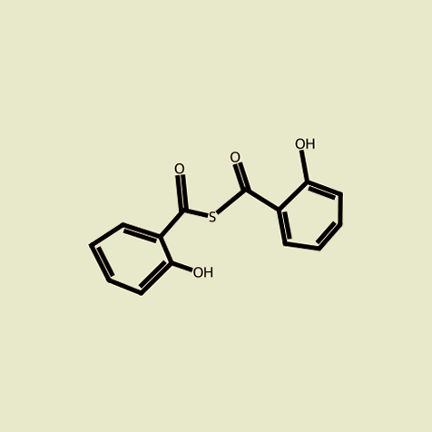 O=C(SC(=O)c1ccccc1O)c1ccccc1O